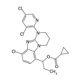 CCC(OC(=O)C1CC1)c1ccc(Cl)c2nc3n(c12)CCCN3c1ncc(Cl)cc1Cl